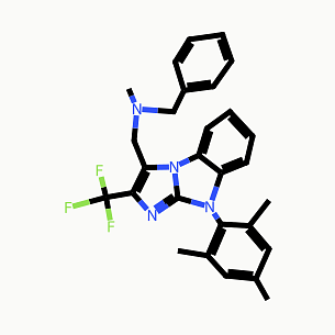 Cc1cc(C)c(-n2c3ccccc3n3c(CN(C)Cc4ccccc4)c(C(F)(F)F)nc23)c(C)c1